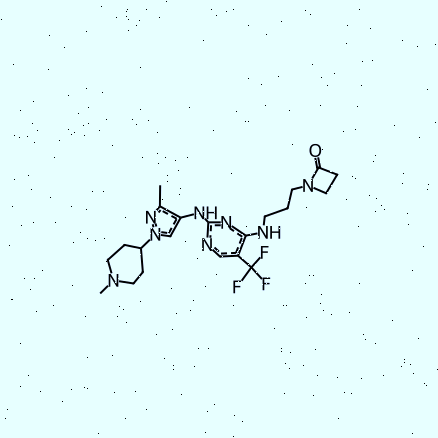 Cc1nn(C2CCN(C)CC2)cc1Nc1ncc(C(F)(F)F)c(NCCCN2CCC2=O)n1